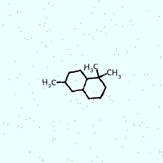 CC1CCC2C(CCCC2(C)C)C1